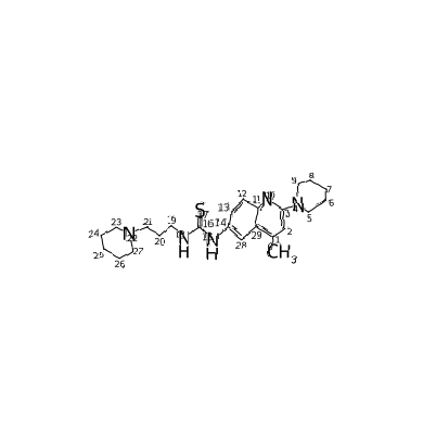 Cc1cc(N2CCCCC2)nc2ccc(NC(=S)NCCCN3CCCCC3)cc12